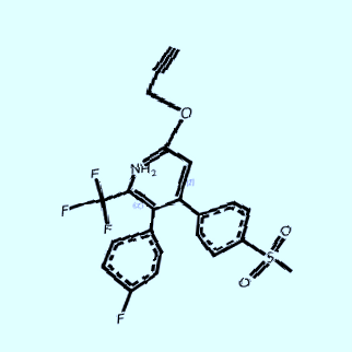 C#CCOC(=C)/C=C(\C(=C(/N)C(F)(F)F)c1ccc(F)cc1)c1ccc(S(C)(=O)=O)cc1